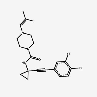 CC(F)=CN1CCN(C(=O)NC2(C#Cc3ccc(Cl)c(Cl)c3)CC2)CC1